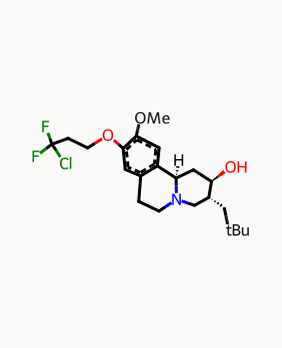 COc1cc2c(cc1OCCC(F)(F)Cl)CCN1C[C@@H](CC(C)(C)C)[C@H](O)C[C@H]21